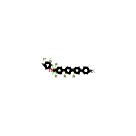 CCC1CCC(c2ccc(-c3ccc(-c4cc(F)c(C(F)(F)Oc5cc(F)c(F)c(F)c5)c(F)c4)c(F)c3)c(F)c2)CC1